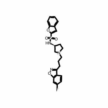 O=S(=O)(N[C@H]1CCN(CCCc2noc3cc(F)ccc23)C1)c1cc2ccccc2o1